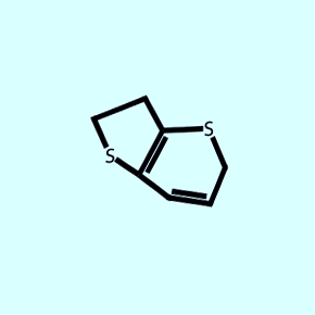 C1=CC2=C(CCS2)SC1